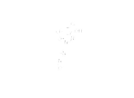 CCC(=O)N1CCN(CCn2cnc3c(O)c(Cl)cc(Cl)c3c2=O)CC1